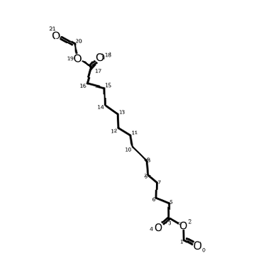 O=COC(=O)CCCCCCCCCCCCC(=O)OC=O